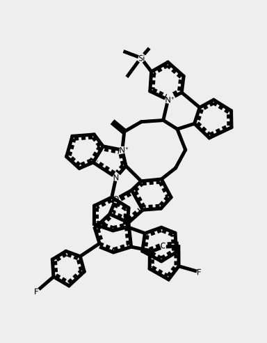 C=C1CC2C(CCc3ccc4c(oc5cc(-c6ccc(F)cc6)cc(-c6ccc(F)cc6)c54)c3-c3n(-c4cccc(-c5ccccc5)c4)c4ccccc4[n+]31)c1ccccc1-c1ccc([Si](C)(C)C)c[n+]12